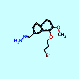 COc1ccc2ccc(C=NN)cc2c1OCCCBr